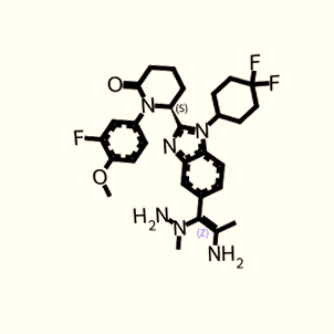 COc1ccc(N2C(=O)CCC[C@H]2c2nc3cc(/C(=C(\C)N)N(C)N)ccc3n2C2CCC(F)(F)CC2)cc1F